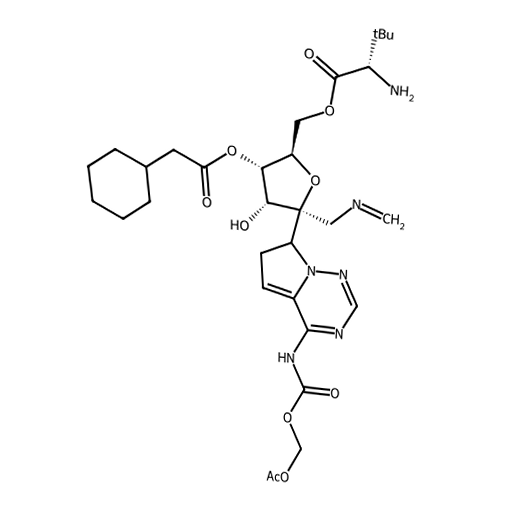 C=NC[C@@]1(C2CC=C3C(NC(=O)OCOC(C)=O)=NC=NN32)O[C@H](COC(=O)[C@@H](N)C(C)(C)C)[C@@H](OC(=O)CC2CCCCC2)[C@H]1O